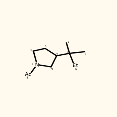 CCC(C)(C)C1CCN(C(C)=O)C1